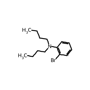 CCCCN(CCCC)c1ccc[c]c1Br